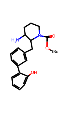 CC(C)(C)OC(=O)N1CCCC(N)C1Cc1cccc(-c2ccccc2O)c1